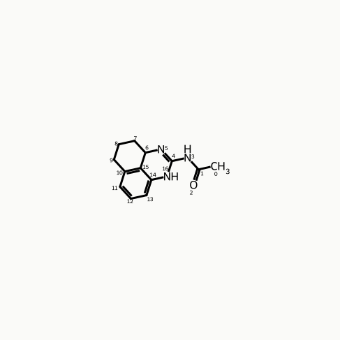 CC(=O)NC1=NC2CCCc3cccc(c32)N1